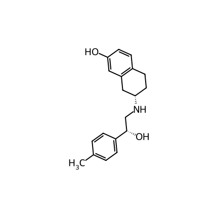 Cc1ccc([C@@H](O)CN[C@H]2CCc3ccc(O)cc3C2)cc1